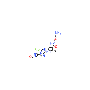 CCc1cc(Nc2nccn3c(-c4cn(COC)nc4C(F)F)cnc23)ccc1C(=O)NCCOCCN